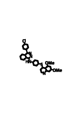 COc1cc(OC)c2c(Sc3ccc(Nc4nnc(-c5ccc(Cl)cc5)c5ccccc45)cc3)ccnc2c1